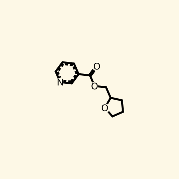 O=C(OCC1CCCO1)c1cccnc1